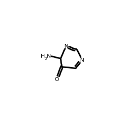 NC1N=CN=CC1=O